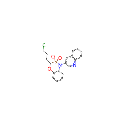 O=S1(=O)C(CCCCl)Oc2ccccc2N1c1cnc2ccccc2c1